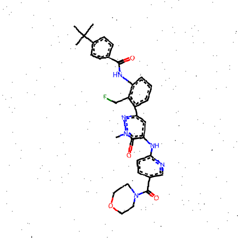 Cn1nc(-c2cccc(NC(=O)c3ccc(C(C)(C)C)cc3)c2CF)cc(Nc2ccc(C(=O)N3CCOCC3)cn2)c1=O